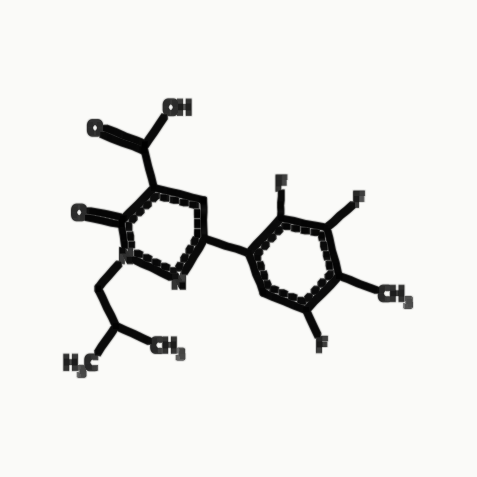 Cc1c(F)cc(-c2cc(C(=O)O)c(=O)n(CC(C)C)n2)c(F)c1F